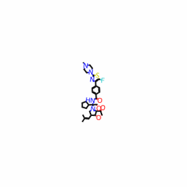 CC(C)=CC1CN(C(C=O)(NC(=O)c2ccc(-c3nc(N4CCN(C)CC4)sc3F)cc2)C2CCCC2)C2C(=O)COC12